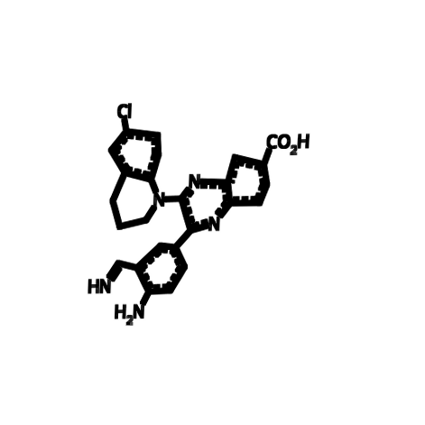 N=Cc1cc(-c2nc3ccc(C(=O)O)cc3nc2N2CCCc3cc(Cl)ccc32)ccc1N